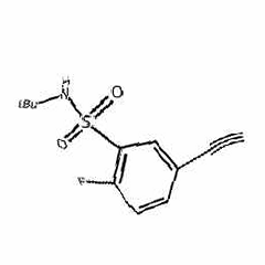 C#Cc1ccc(F)c(S(=O)(=O)NC(C)(C)C)c1